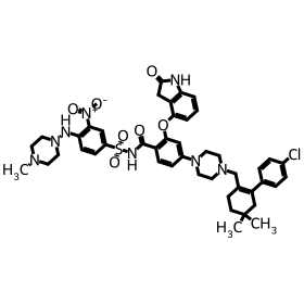 CN1CCN(Nc2ccc(S(=O)(=O)NC(=O)c3ccc(N4CCN(CC5=C(c6ccc(Cl)cc6)CC(C)(C)CC5)CC4)cc3Oc3cccc4c3CC(=O)N4)cc2[N+](=O)[O-])CC1